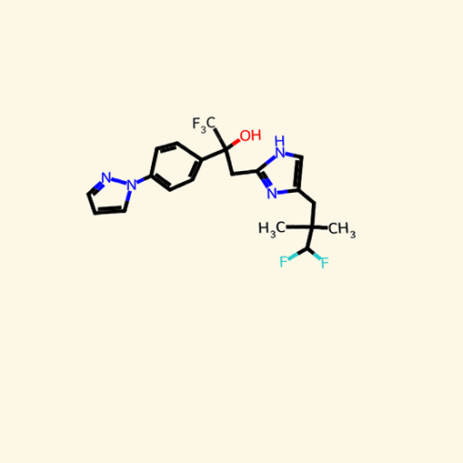 CC(C)(Cc1c[nH]c(CC(O)(c2ccc(-n3cccn3)cc2)C(F)(F)F)n1)C(F)F